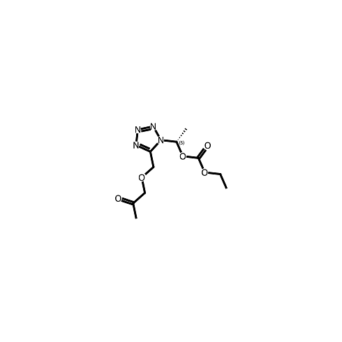 CCOC(=O)O[C@@H](C)n1nnnc1COCC(C)=O